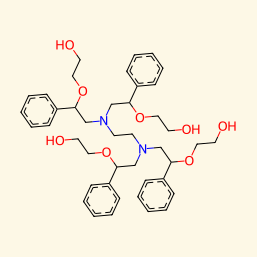 OCCOC(CN(CCN(CC(OCCO)c1ccccc1)CC(OCCO)c1ccccc1)CC(OCCO)c1ccccc1)c1ccccc1